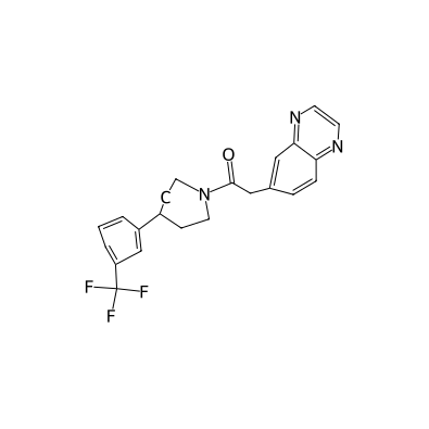 O=C(Cc1ccc2nccnc2c1)N1CCC(c2cccc(C(F)(F)F)c2)CC1